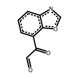 O=CC(=O)c1cccc2ncoc12